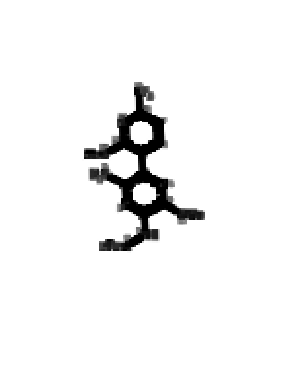 CCCCCNc1nc(C)c(-c2ccc(C(F)(F)F)nc2OC)nc1OC